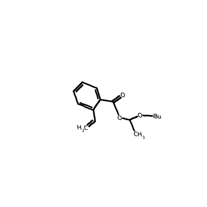 C=Cc1ccccc1C(=O)OC(C)OC(C)CC